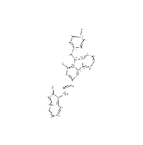 Cc1nc(C=NNC2=c3ccccc3=NC2=O)cc2c3ccccc3n(Cc3ccc(F)cc3)c12